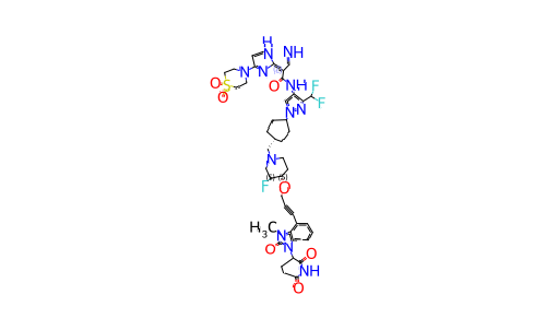 Cn1c(=O)n(C2CCC(=O)NC2=O)c2cccc(C#CCO[C@H]3CCN(C[C@H]4CC[C@H](n5cc(NC(=O)/C(C=N)=C6\N=C(N7CCS(=O)(=O)CC7)C=CN6)c(C(F)F)n5)CC4)C[C@@H]3F)c21